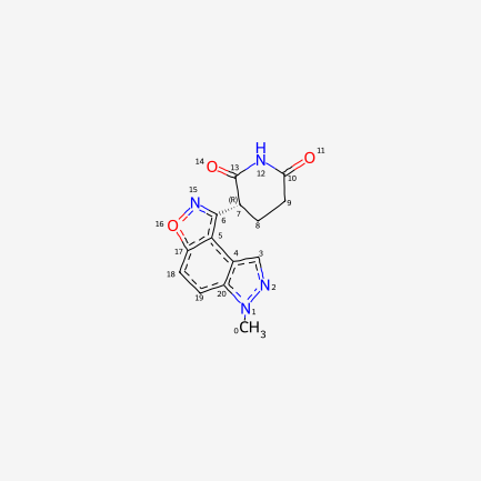 Cn1ncc2c3c([C@H]4CCC(=O)NC4=O)noc3ccc21